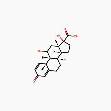 C[C@]12C=CC(=O)C=C1CC[C@@H]1[C@H]2C(O)C[C@@]2(C)[C@H]1CCC2(O)C(=O)O